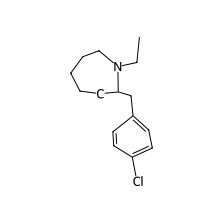 CCN1CCCCCC1Cc1ccc(Cl)cc1